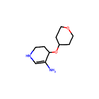 NC1=CNCCC1OC1CCOCC1